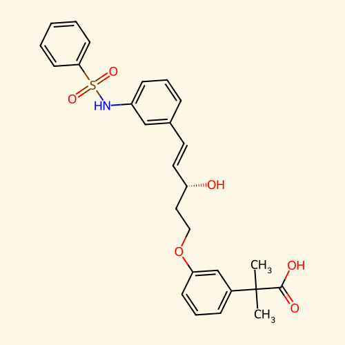 CC(C)(C(=O)O)c1cccc(OCC[C@@H](O)/C=C/c2cccc(NS(=O)(=O)c3ccccc3)c2)c1